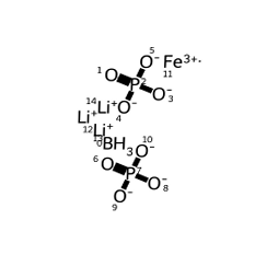 B.O=P([O-])([O-])[O-].O=P([O-])([O-])[O-].[Fe+3].[Li+].[Li+].[Li+]